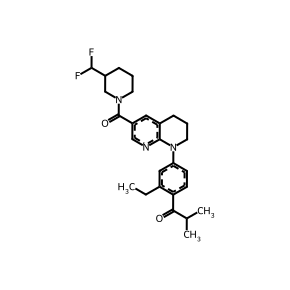 CCc1cc(N2CCCc3cc(C(=O)N4CCCC(C(F)F)C4)cnc32)ccc1C(=O)C(C)C